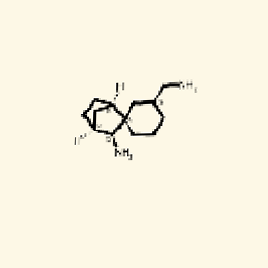 NC[C@H]1CCC[C@]2(C1)[C@@H]1CC[C@@H](C1)[C@@H]2N